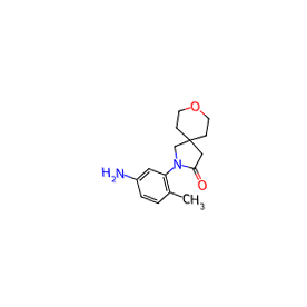 Cc1ccc(N)cc1N1CC2(CCOCC2)CC1=O